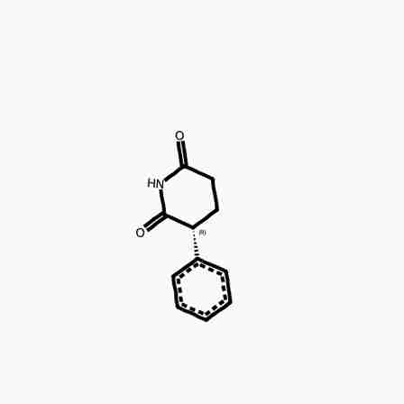 O=C1CC[C@H](c2ccccc2)C(=O)N1